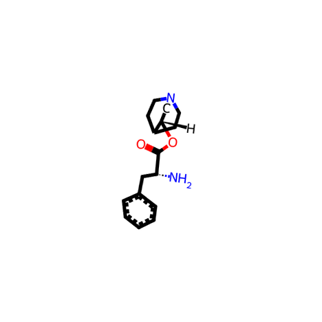 N[C@H](Cc1ccccc1)C(=O)O[C@H]1CN2CCC1CC2